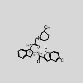 O=C(CN1CCCC(O)C1)N[C@@H]1c2ccccc2C[C@H]1NC(=O)c1cc2cc(Cl)ccc2[nH]1